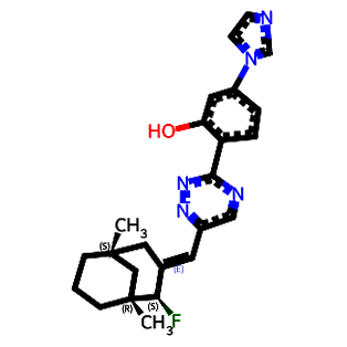 C[C@]12CCC[C@](C)(C1)[C@H](F)/C(=C/c1cnc(-c3ccc(-n4ccnc4)cc3O)nn1)C2